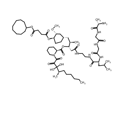 CCCCCC[C@@H](C)C(O)(O)C(=O)C(=O)N1CCCC[C@H]1C(=O)O[C@@H](CC(=O)NCCNC(=O)[C@H](CC(C)C)NC(=O)CNC(=O)CNC(=O)[C@H](C)N)[C@H](C)C[C@@H]1CC[C@@H](OC(=O)CCC(=O)OC2CCCCCCCC2)[C@H](OC)C1